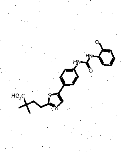 CC(C)(CCc1ncc(-c2ccc(NC(=O)Nc3ccccc3Cl)cc2)s1)C(=O)O